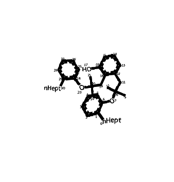 CCCCCCCc1ccccc1OC(C)(C)Cc1cccc(O)c1CC(C)(C)Oc1ccccc1CCCCCCC